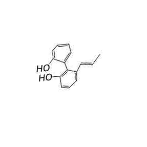 CC=Cc1cccc(O)c1-c1ccccc1O